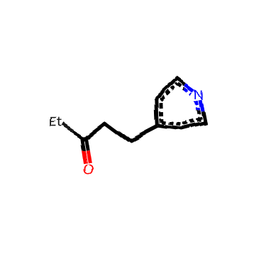 CCC(=O)CCc1ccncc1